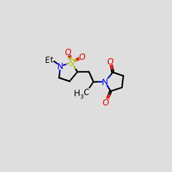 CCN1CCC(CC(C)N2C(=O)CCC2=O)S1(=O)=O